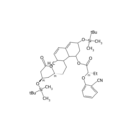 CC[C@H](Oc1ccccc1C#N)C(=O)OC1CC(O[Si](C)(C)C(C)(C)C)C=C2C=CC(C)C(CC[C@@H]3C[C@@H](O[Si](C)(C)C(C)(C)C)CC(=O)O3)C21